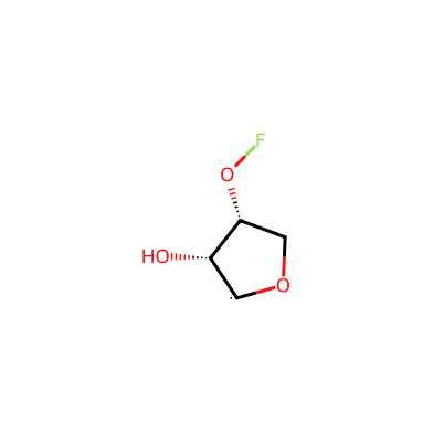 O[C@H]1[CH]OC[C@H]1OF